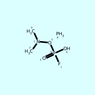 CN(C)OP(=O)(O)F.P